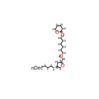 CCCCCCCCCCCCCC[C@H]1CO[C@H](COCCCCCCOC2CCCCO2)C1